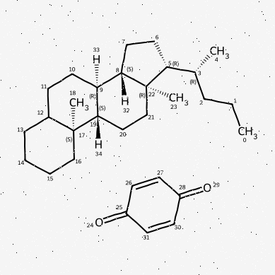 CCC[C@@H](C)[C@H]1CC[C@H]2[C@@H]3CCC4CCCC[C@]4(C)[C@H]3CC[C@]12C.O=C1C=CC(=O)C=C1